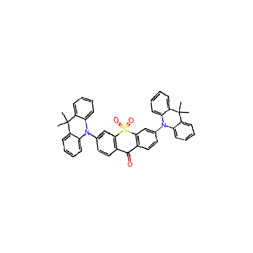 CC1(C)c2ccccc2N(c2ccc3c(c2)S(=O)(=O)c2cc(N4c5ccccc5C(C)(C)c5ccccc54)ccc2C3=O)c2ccccc21